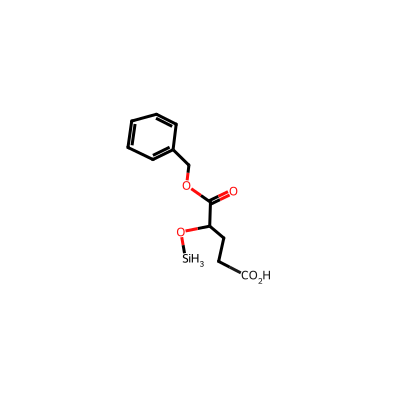 O=C(O)CCC(O[SiH3])C(=O)OCc1ccccc1